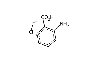 CCC.Nc1ccccc1C(=O)O